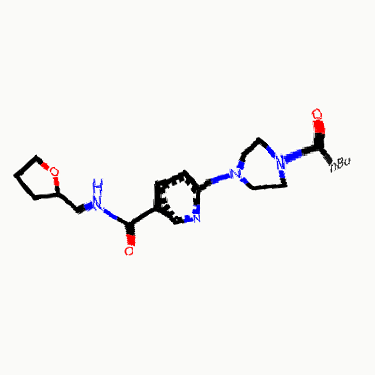 CCCCC(=O)N1CCN(c2ccc(C(=O)NCC3CCCO3)cn2)CC1